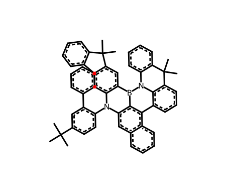 CC(C)(C)c1ccc(N2c3cc4c(cc3B3c5c2cc2ccccc2c5-c2cccc5c2N3c2ccccc2C5(C)C)C(C)(C)c2ccccc2-4)c(-c2ccccc2)c1